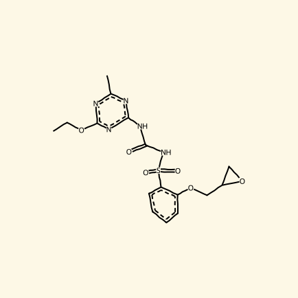 CCOc1nc(C)nc(NC(=O)NS(=O)(=O)c2ccccc2OCC2CO2)n1